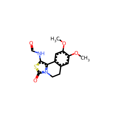 COc1cc2c(cc1OC)-c1c(NC=O)sc(=O)n1CC2